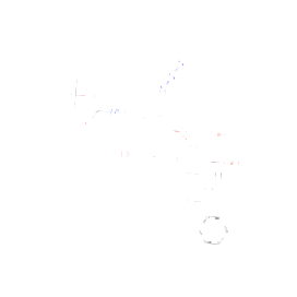 CC(C)(C)OC(=O)NO[C@@H]1OC(CN=[N+]=[N-])[C@@H](O[C@@H]2OC3COC(c4ccccc4)O[C@@H]3C(O)C2O)C(O)C1O